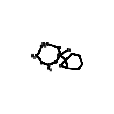 CC[Si]1(C23CCCCC2O3)O[SiH2]O[SiH2]O[SiH2]O1